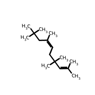 CC(C)=CC(C)(C)CC=C(C)CC(C)(C)C